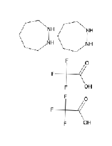 C1CCNNCC1.C1CCNNCC1.O=C(O)C(F)(F)F.O=C(O)C(F)(F)F